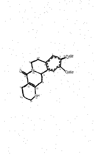 COc1cc2c(cc1OC)C1CC3=C(CCCN3)C(=O)N1CC2